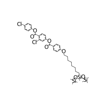 C[Si](C)(C)O[Si](C)(CCCCCCCCOc1ccc(C(=O)Oc2ccc(C(=O)Oc3ccc(Cl)cc3)c(Cl)c2)cc1)O[Si](C)(C)C